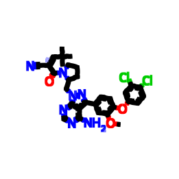 COc1cc(-c2nn(CC3CCCN3C(=O)/C(C#N)=C\C(C)(C)C)c3ncnc(N)c23)ccc1Oc1ccc(Cl)c(Cl)c1